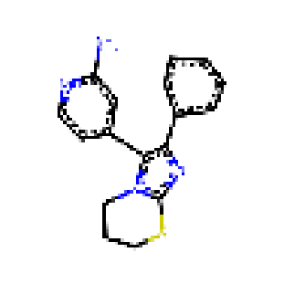 Nc1cc(-c2c(-c3ccccc3)nc3n2CCCS3)ccn1